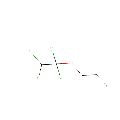 FCCOC(F)(F)C(F)F